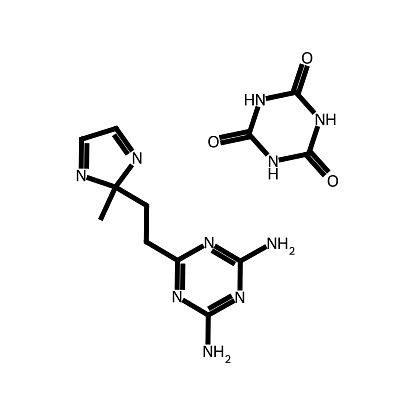 CC1(CCc2nc(N)nc(N)n2)N=CC=N1.O=c1[nH]c(=O)[nH]c(=O)[nH]1